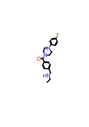 CCNCc1ccc(C(=O)N2CCN(c3ccc(F)cc3)CC2)cc1